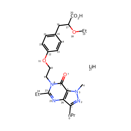 CCCc1nn(C)c2c(=O)n(CCOc3ccc(CC(OCC)C(=O)O)cc3)c(CC)nc12.[LiH]